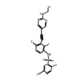 CC(C)CNc1ncc(C#Cc2c(F)ccc(NS(=O)(=O)c3cc(Cl)ccc3Cl)c2F)cn1